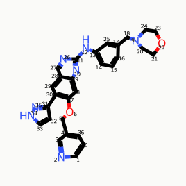 c1cncc(COc2cc3nc(Nc4cccc(CN5CCOCC5)c4)ncc3cc2-c2cc[nH]n2)c1